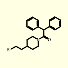 O=C(C(c1ccccc1)c1ccccc1)N1CCC(CCBr)CC1